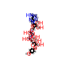 COc1ccc(O[C@@H]2O[C@H](COP(O)OP(O)OP(O)OC[C@H]3O[C@@H](n4cnc5c(=N)n(C)cnc54)[C@H](O)[C@@H]3O)[C@@H](O)[C@H]2O)cc1